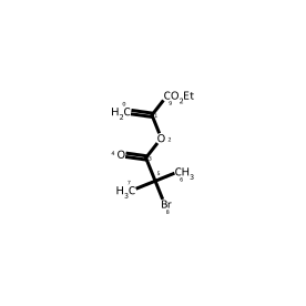 C=C(OC(=O)C(C)(C)Br)C(=O)OCC